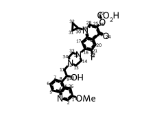 COc1cnc2cccc(C(O)CN3CCN(c4cc5c(cc4F)c(=O)c(OC(=O)O)cn5C4CC4)CC3)c2c1